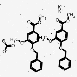 COC(=O)c1ccc(OCc2ccccc2)c(OC)c1.COC(=O)c1ccc(OCc2ccccc2)c(OC)c1.O=C([O-])[O-].[K+].[K+]